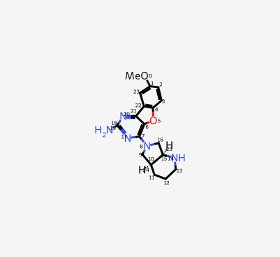 COc1ccc2oc3c(N4C[C@@H]5CCCN[C@@H]5C4)nc(N)nc3c2c1